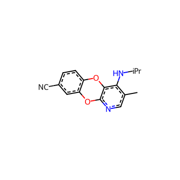 Cc1cnc2c(c1NC(C)C)Oc1ccc(C#N)cc1O2